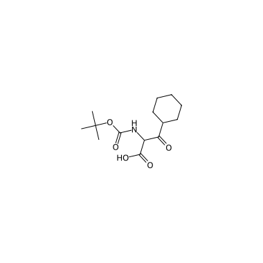 CC(C)(C)OC(=O)NC(C(=O)O)C(=O)C1CCCCC1